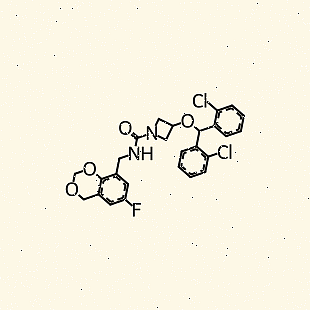 O=C(NCc1cc(F)cc2c1OCOC2)N1CC(OC(c2ccccc2Cl)c2ccccc2Cl)C1